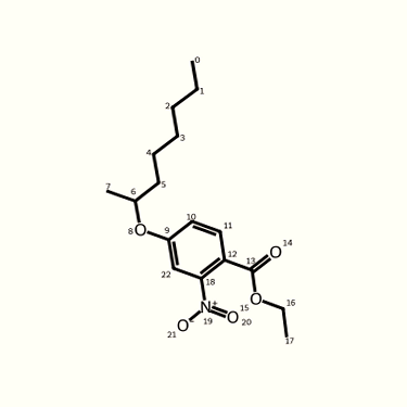 CCCCCCC(C)Oc1ccc(C(=O)OCC)c([N+](=O)[O-])c1